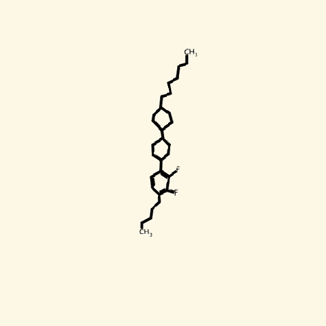 CCCCCCCC1CCC(C2CCC(c3ccc(CCCCC)c(F)c3F)CC2)CC1